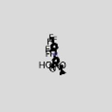 O=C(O)c1cc(/C=C/c2ccc(C(F)(F)F)cc2C(F)(F)F)ccc1NC(=O)C1CC1